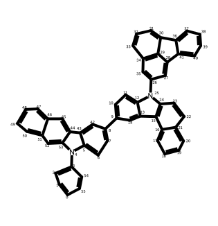 c1ccc(-n2c3ccc(-c4ccc5c(c4)c4c6ccccc6ccc4n5-c4cc5c6c(cccc6c4)-c4ccccc4-5)cc3c3cc4ccccc4cc32)cc1